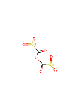 O=C(OC(=O)[SH](=O)=O)[SH](=O)=O